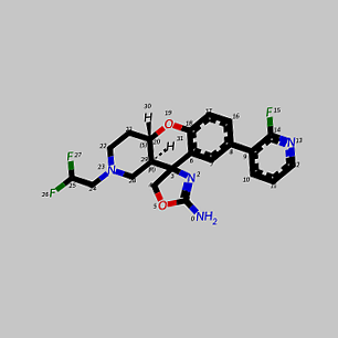 NC1=NC2(CO1)c1cc(-c3cccnc3F)ccc1O[C@H]1CCN(CC(F)F)C[C@@H]12